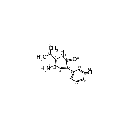 CC(C)c1[nH]c(=O)c(-c2cccc(Cl)c2)cc1N